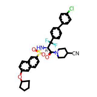 N#CC1CCN(C(=O)[C@@H](NS(=O)(=O)c2ccc3cc(OC4CCCC4)ccc3c2)C(F)(F)c2ccc(-c3ccc(Cl)cc3)cc2)CC1